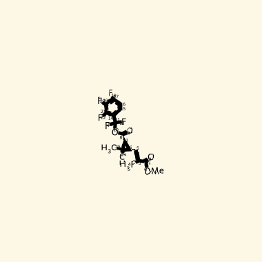 COC(=O)C(F)=C[C@H]1[C@@H](C(=O)OC(F)(F)c2ccc(F)c(F)c2F)C1(C)C